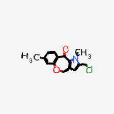 Cc1ccc2c(c1)OCc1cc(CCl)n(C)c1C2=O